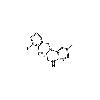 Cc1cnc2c(c1)N(Cc1cccc(F)c1C(F)(F)F)CCN2